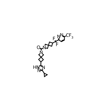 O=C(N1CC2(CC(c3nc(C4CC4)n[nH]3)C2)C1)N1CC2(CC(C(F)(F)c3ccc(C(F)(F)F)nn3)C2)C1